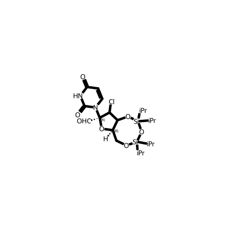 CC(C)[Si]1(C(C)C)OC[C@H]2O[C@@](C=O)(n3ccc(=O)[nH]c3=O)C(Cl)C2O[Si](C(C)C)(C(C)C)O1